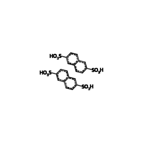 O=S(=O)(O)c1ccc2cc(S(=O)(=O)O)ccc2c1.O=S(=O)(O)c1ccc2cc(S(=O)(=O)O)ccc2c1